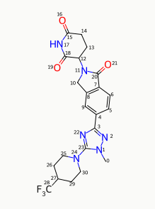 Cn1nc(-c2ccc3c(c2)CN(C2CCC(=O)NC2=O)C3=O)nc1N1CCC(C(F)(F)F)CC1